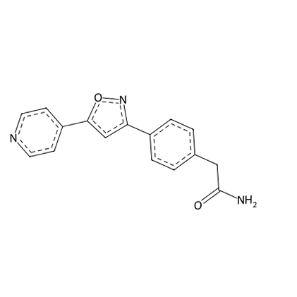 NC(=O)Cc1ccc(-c2cc(-c3ccncc3)on2)cc1